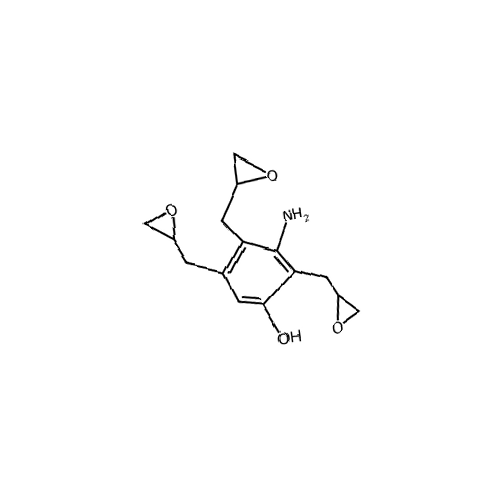 Nc1c(CC2CO2)c(O)cc(CC2CO2)c1CC1CO1